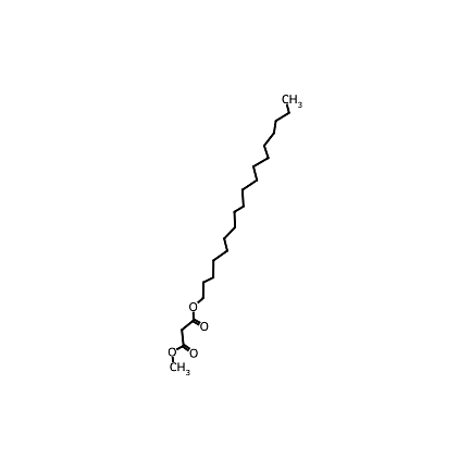 CCCCCCCCCCCCCCCCCCOC(=O)CC(=O)OC